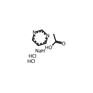 CC(=O)O.Cl.Cl.[NaH].c1cncnc1